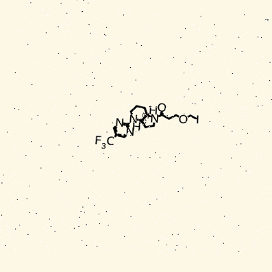 O=C(CCOCI)N1CC[C@@H]2[C@H]1CCCN2c1ncc(C(F)(F)F)cn1